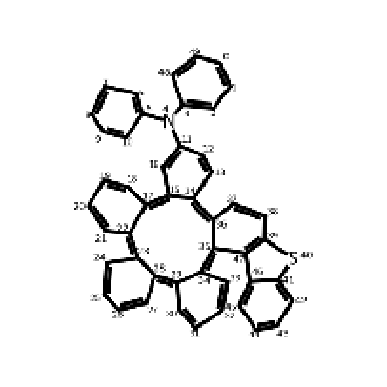 c1ccc(N(c2ccccc2)c2ccc3c(c2)c2ccccc2c2ccccc2c2ccccc2c2c3ccc3sc4ccccc4c32)cc1